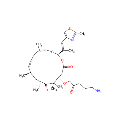 C/C1=C/C[C@@H](/C(C)=C/c2csc(C)n2)OC(=O)C[C@H](OCC(=O)CCCN)C(C)(C)C(=O)[C@H](C)C[C@@H](C)/C=C\C1